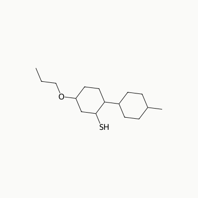 CCCOC1CCC(C2CCC(C)CC2)C(S)C1